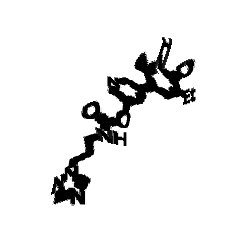 CCc1cc(-c2cncc(OC(=O)NCCCn3cncn3)c2)c(C)[nH]c1=O